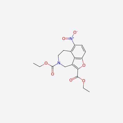 CCOC(=O)c1oc2ccc([N+](=O)[O-])c3c2c1CN(C(=O)OCC)CC3